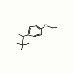 CCOc1ccc(C(C)C(C)(C)C)cc1